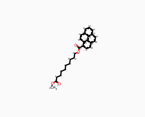 COC(=O)CCCCCCCCCOC(=O)c1ccc2ccc3cccc4ccc1c2c34